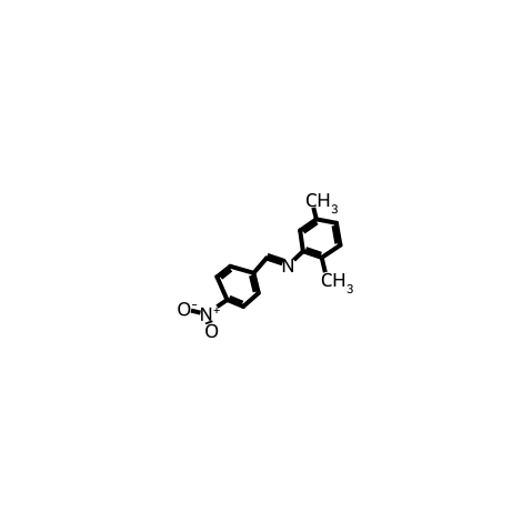 Cc1ccc(C)c(N=Cc2ccc([N+](=O)[O-])cc2)c1